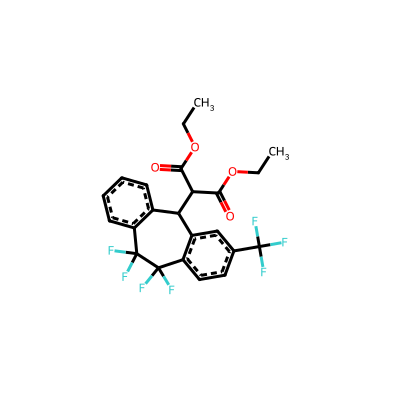 CCOC(=O)C(C(=O)OCC)C1c2ccccc2C(F)(F)C(F)(F)c2ccc(C(F)(F)F)cc21